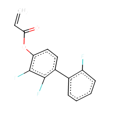 C=CC(=O)Oc1ccc(-c2ccccc2F)c(F)c1F